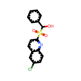 O=S(=O)(c1ccc2cc(Cl)ccc2n1)C(O)c1ccccc1